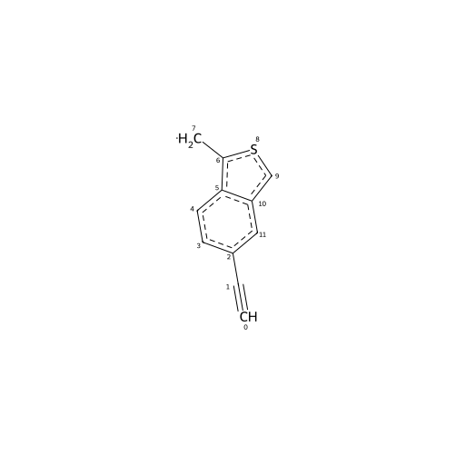 C#Cc1ccc2c([CH2])scc2c1